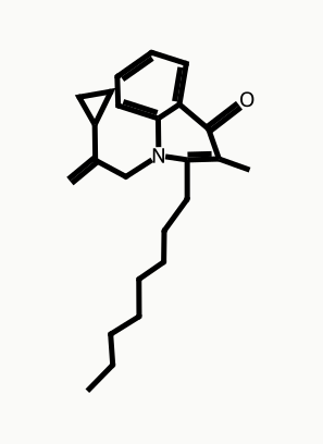 C=C(Cn1c(CCCCCCCC)c(C)c(=O)c2ccccc21)C1CC1